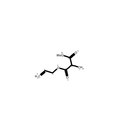 C=CCOC(=O)C(C)C(=O)OC